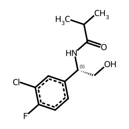 CC(C)C(=O)N[C@H](CO)c1ccc(F)c(Cl)c1